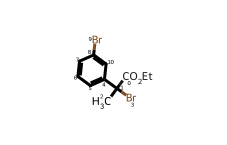 CCOC(=O)C(C)(Br)c1cccc(Br)c1